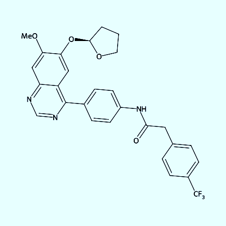 COc1cc2ncnc(-c3ccc(NC(=O)Cc4ccc(C(F)(F)F)cc4)cc3)c2cc1O[C@H]1CCCO1